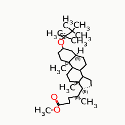 COC(=O)CC[C@@H](C)[C@H]1CCC2C3CC[C@@H]4CC(O[Si](C)(C)C(C)(C)C)CC[C@]4(C)C3CC[C@@]21C